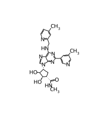 CNC(=O)[C@H]1C[C@@H](n2cnc3c(NCc4cc(C)ccn4)nc(-c4cncc(C)c4)nc32)[C@H](O)[C@@H]1O